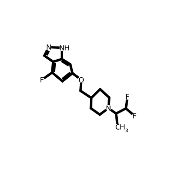 CC(C(F)F)N1CCC(COc2cc(F)c3cn[nH]c3c2)CC1